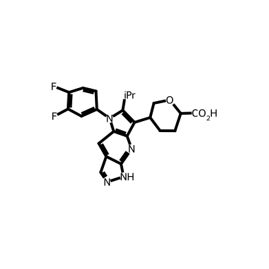 CC(C)c1c(C2CCC(C(=O)O)OC2)c2nc3[nH]ncc3cc2n1-c1ccc(F)c(F)c1